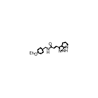 CCOc1ccc(CNC(=O)C=Cc2n[nH]c3ncccc23)cc1